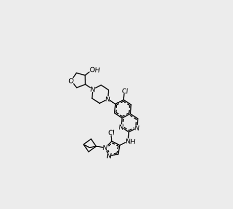 OC1COCC1N1CCN(c2cc3nc(Nc4cnn(C56CC(C5)C6)c4Cl)ncc3cc2Cl)CC1